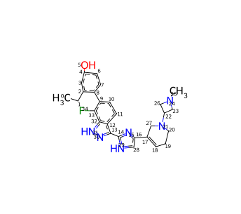 CCc1cc(O)ccc1-c1ccc2c(-c3nc(C4=CCCN(C5CN(C)C5)C4)c[nH]3)n[nH]c2c1F